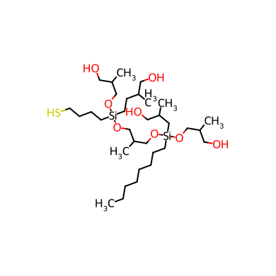 CCCCCCCC[Si](CC(C)CO)(OCC(C)CO)OCC(C)CO[Si](CCCCS)(CCC(C)CO)OCC(C)CO